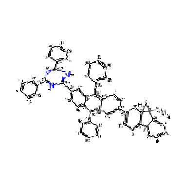 CC1(C)c2ccccc2-c2ccc(-c3ccc4c(-c5ccccc5)c5cc(-c6nc(-c7ccccc7)nc(-c7ccccc7)n6)ccc5c(-c5ccccc5)c4c3)cc21